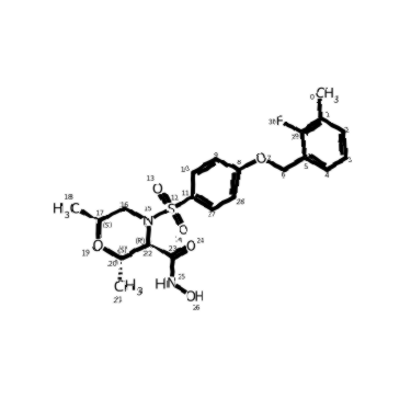 Cc1cccc(COc2ccc(S(=O)(=O)N3C[C@H](C)O[C@@H](C)[C@@H]3C(=O)NO)cc2)c1F